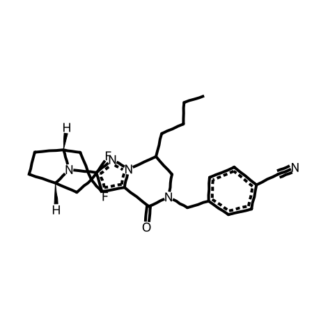 CCCCC1CN(Cc2ccc(C#N)cc2)C(=O)c2cc(N3[C@@H]4CC[C@H]3CC(F)(F)C4)nn21